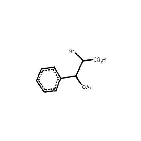 CC(=O)OC(c1ccccc1)C(Br)C(=O)O